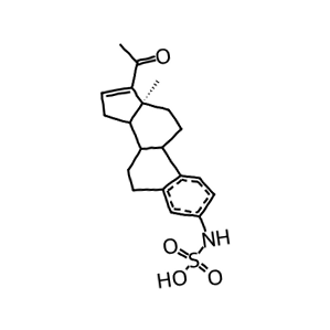 CC(=O)C1=CCC2C3CCc4cc(NS(=O)(=O)O)ccc4C3CC[C@]12C